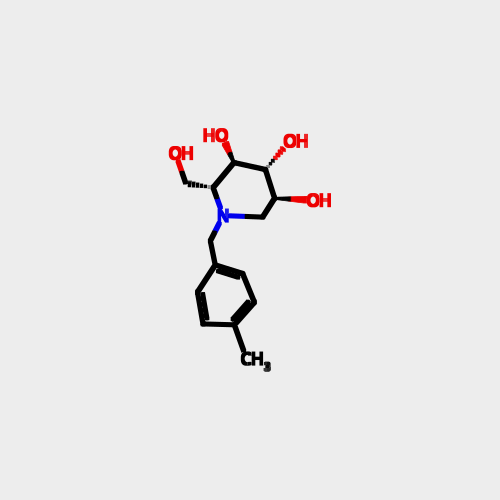 Cc1ccc(CN2C[C@H](O)[C@@H](O)[C@H](O)[C@H]2CO)cc1